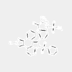 CCn1cc(-c2ccnc3c2cc(-c2ccc(NS(C)(=O)=O)cc2)n3S(=O)(=O)c2ccccc2)c(-c2ccc(NC(=O)N(C)C)cc2)n1